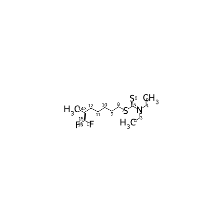 CCN(CC)C(=S)SCCCCCC(C)=C(F)F